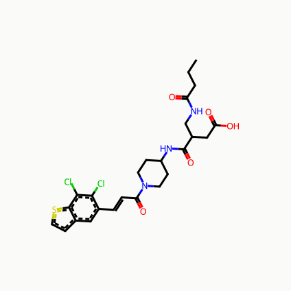 CCCC(=O)NCC(CC(=O)O)C(=O)NC1CCN(C(=O)/C=C/c2cc3ccsc3c(Cl)c2Cl)CC1